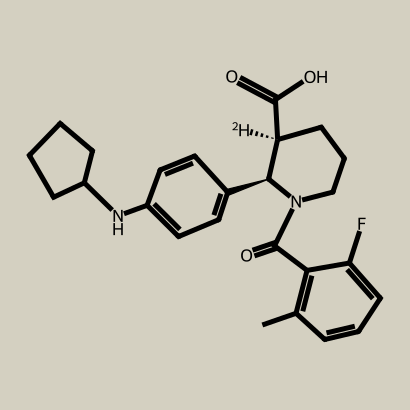 [2H][C@]1(C(=O)O)CCCN(C(=O)c2c(C)cccc2F)[C@H]1c1ccc(NC2CCCC2)cc1